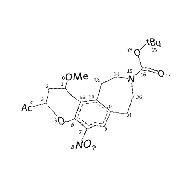 COC1CC(C(C)=O)Oc2c([N+](=O)[O-])cc3c(c21)CCN(C(=O)OC(C)(C)C)CC3